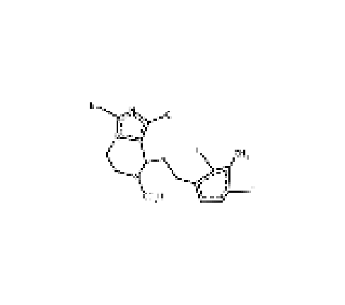 CCc1nc(Cl)c2n1CCN(C(=O)O)C2CCc1ccc(F)c(C)c1F